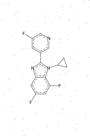 Fc1cncc(-c2nc3cc(F)cc(F)c3n2C2CC2)c1